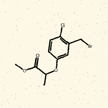 COC(=O)C(C)Oc1ccc(Cl)c(CBr)c1